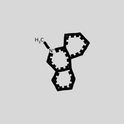 C[n+]1cc2ccccc2c2ccccc21